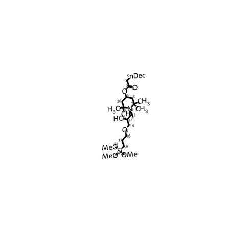 CCCCCCCCCCCC(=O)OC1CC(C)(C)N(CC(O)COCCC[Si](OC)(OC)OC)C(C)(C)C1